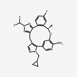 C[C@H]1Oc2cc(cnc2N)-c2c(cnn2CC2CC2)Cc2nn(C(F)F)nc2-c2ccc(F)cc21